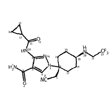 N#CC[C@]1(n2cc(C(N)=O)c(NC(=O)C3CC3)n2)CC[C@H](NCC(F)(F)F)CC1